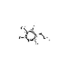 NCc1c(F)cc(F)c(Cl)c1F